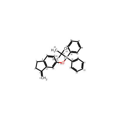 C=C1CCc2ccc(O[Si](c3ccccc3)(c3ccccc3)C(C)(C)C)cc21